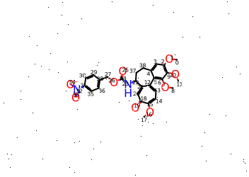 COc1cc2c(c(OC)c1OC)-c1ccc(OC)c(=O)cc1C(NC(=O)OCc1ccc([N+](=O)[O-])cc1)CC2